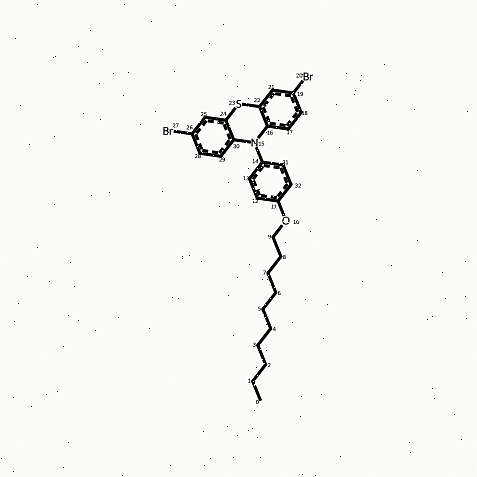 CCCCCCCCCCOc1ccc(N2c3ccc(Br)cc3Sc3cc(Br)ccc32)cc1